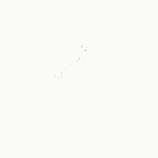 CCCCCCCCCCCCCCOc1cc(Cl)ccc1OCC(=O)Nc1cccc(C[n+]2csc(C)c2)c1.[Br-]